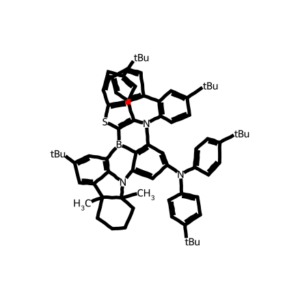 CC(C)(C)c1ccc(N(c2ccc(C(C)(C)C)cc2)c2cc3c4c(c2)N2c5c(cc(C(C)(C)C)cc5C5(C)CCCCC25C)B4c2sc4ccc(C(C)(C)C)cc4c2N3c2ccc(C(C)(C)C)cc2-c2ccccc2)cc1